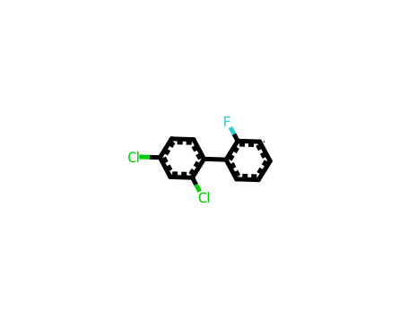 Fc1[c]cccc1-c1ccc(Cl)cc1Cl